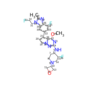 COc1nc(N[C@H]2CCN(C3COC3)C[C@@H]2F)nn2ccc(-c3cc(F)c4nc(C)n(CCF)c4c3)c12